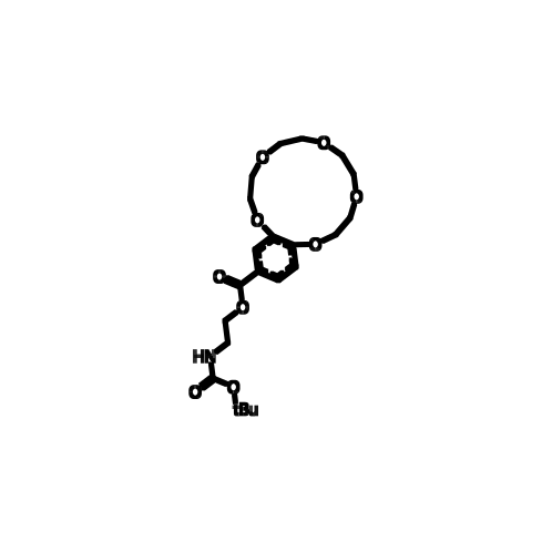 CC(C)(C)OC(=O)NCCOC(=O)c1ccc2c(c1)OCCOCCOCCOCCO2